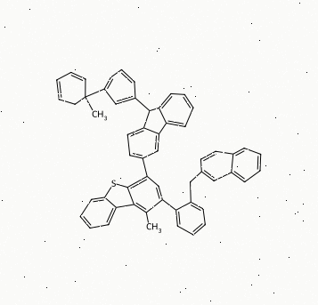 Cc1c(-c2ccccc2Cc2ccc3ccccc3c2)cc(-c2ccc3c(c2)-c2ccccc2C3c2cccc(C3(C)C=CC=CC3)c2)c2sc3ccccc3c12